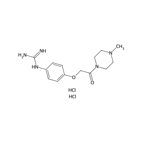 CN1CCN(C(=O)COc2ccc(NC(=N)N)cc2)CC1.Cl.Cl